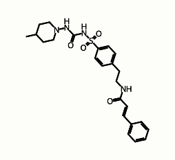 CC1CCN(NC(=O)NS(=O)(=O)c2ccc(CCNC(=O)/C=C/c3ccccc3)cc2)CC1